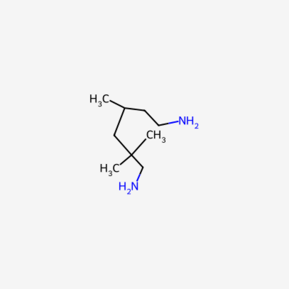 CC(CCN)CC(C)(C)CN